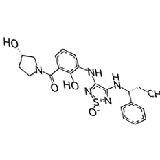 CC[C@@H](Nc1n[s+]([O-])nc1Nc1cccc(C(=O)N2CC[C@H](O)C2)c1O)c1ccccc1